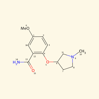 COc1ccc(OC2CCN(C)C2)c(C(N)=O)c1